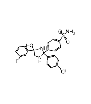 NS(=O)(=O)c1ccc(C2(c3ccc(Cl)cc3)NCC(O)(c3cccc(F)c3)N2)cc1